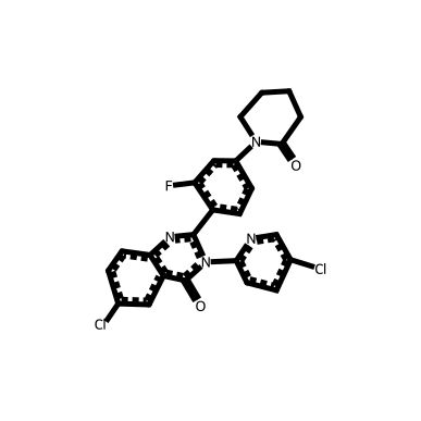 O=C1CCCCN1c1ccc(-c2nc3ccc(Cl)cc3c(=O)n2-c2ccc(Cl)cn2)c(F)c1